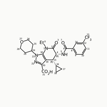 CCN1C(=O)[C@H](NC(=O)c2cccc(C(F)(F)F)c2)[C@H](C2CC2)c2c(C(=O)O)nn(C3CCOCC3)c21